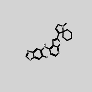 CN1CC=C(c2cc3c(Nc4cc5ncsc5cc4F)ccnc3s2)C12CCCCC2